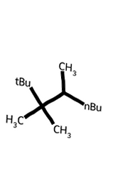 CCCCC(C)C(C)(C)C(C)(C)C